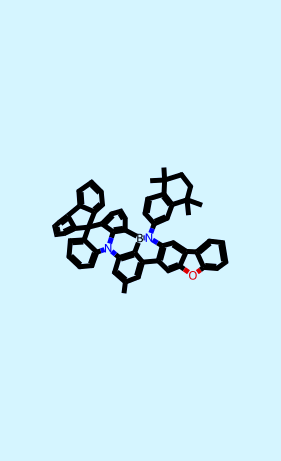 Cc1cc2c3c(c1)N1c4ccccc4C4(c5ccccc5-c5ccccc54)c4cccc(c41)B3N(c1ccc3c(c1)C(C)(C)CCC3(C)C)c1cc3c(cc1-2)oc1ccccc13